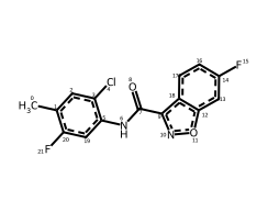 Cc1cc(Cl)c(NC(=O)c2noc3cc(F)ccc23)cc1F